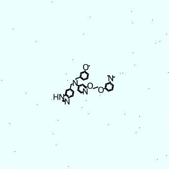 COc1cccc(CN(Cc2ccc3nc[nH]c3c2)c2ccnc(OCCOc3cccc(N(C)C)c3)c2)c1